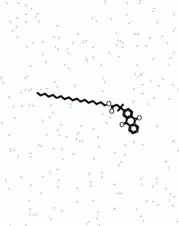 CCCCCCCCCCCCCCCCCCOC(=O)CC(C)(C)c1ccc2c(c1)C(=O)c1ccccc1C2=O